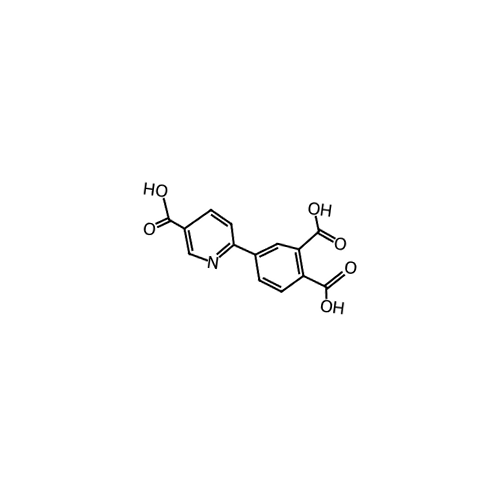 O=C(O)c1ccc(-c2ccc(C(=O)O)c(C(=O)O)c2)nc1